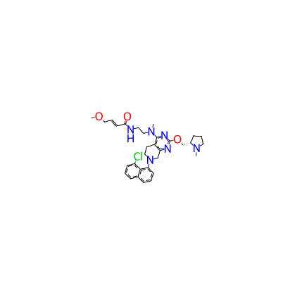 COC/C=C/C(=O)NCCN(C)c1nc(OC[C@@H]2CCCN2C)nc2c1CCN(c1cccc3cccc(Cl)c13)C2